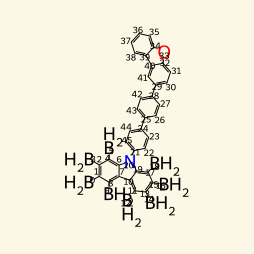 Bc1c(B)c(B)c2c(c1B)c1c(B)c(B)c(B)c(B)c1n2-c1ccc(-c2ccc(-c3ccc4oc5ccccc5c4c3)cc2)cc1